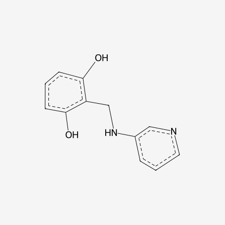 Oc1cccc(O)c1CNc1cccnc1